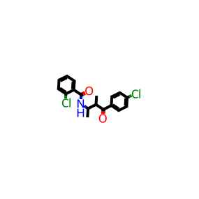 CC(NC(=O)c1ccccc1Cl)C(C)C(=O)c1ccc(Cl)cc1